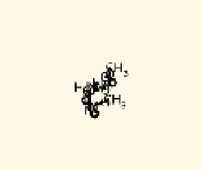 CCOC(=O)c1ccccc1NC(=O)NCC(N)CC(=O)N1CCCC(c2nc3ccccc3n2CCCOC)C1